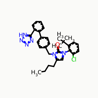 CCCCc1cn(-c2c(Cl)cccc2C(C)(C)C)c(=O)n1Cc1ccc(-c2ccccc2-c2nnn[nH]2)cc1